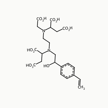 C=Cc1ccc(C(O)CN(CCN(CC(=O)O)C(CC(=O)O)C(=O)O)C(CC(=O)O)C(=O)O)cc1